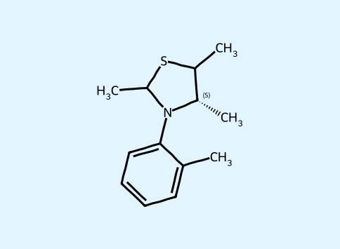 Cc1ccccc1N1C(C)SC(C)[C@@H]1C